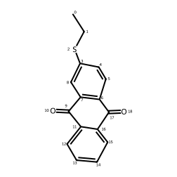 CCSc1ccc2c(c1)C(=O)c1ccccc1C2=O